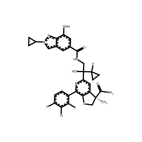 COc1cc(C(=O)NCC(O)(c2cc3c(c(-c4ccc(F)c(Cl)c4F)n2)OC[C@]3(C)C(N)=O)C2(F)CC2)cc2cn(C3CC3)nc12